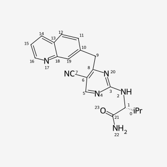 CC(C)[C@@H](Nc1ncc(C#N)c(Cc2ccc3cccnc3c2)n1)C(N)=O